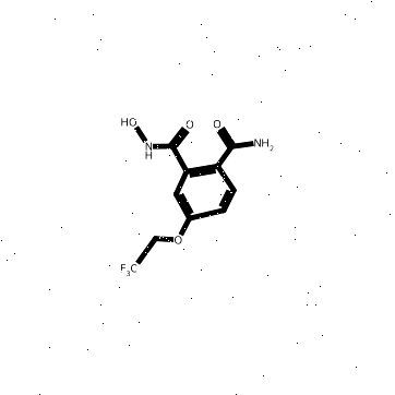 NC(=O)c1ccc(OCC(F)(F)F)cc1C(=O)NO